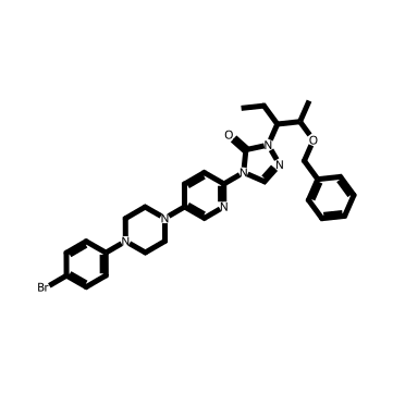 CCC(C(C)OCc1ccccc1)n1ncn(-c2ccc(N3CCN(c4ccc(Br)cc4)CC3)cn2)c1=O